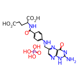 Nc1nc(=O)c2nc(CNc3ccc(C(=O)N[C@@H](CCC(=O)O)C(=O)O)cc3)cnc2[nH]1.O=P(O)(O)O